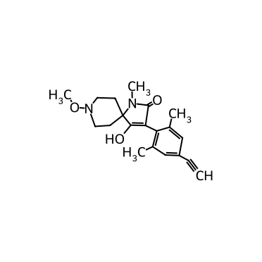 C#Cc1cc(C)c(C2=C(O)C3(CCN(OC)CC3)N(C)C2=O)c(C)c1